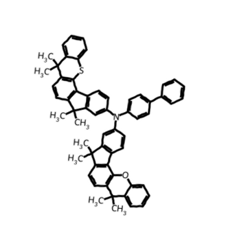 CC1(C)c2ccccc2Oc2c1ccc1c2-c2ccc(N(c3ccc(-c4ccccc4)cc3)c3ccc4c(c3)C(C)(C)c3ccc5c(c3-4)Sc3ccccc3C5(C)C)cc2C1(C)C